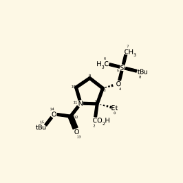 CC[C@@]1(C(=O)O)[C@@H](O[Si](C)(C)C(C)(C)C)CCN1C(=O)OC(C)(C)C